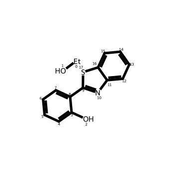 CCO.Oc1ccccc1-c1nc2ccccc2s1